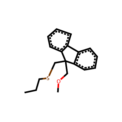 CCCSCC1(COC)c2ccccc2-c2ccccc21